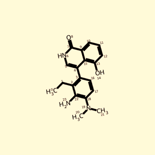 CCc1c(-c2c[nH]c(=O)c3cccc(O)c23)ccc(N(C)C)c1N